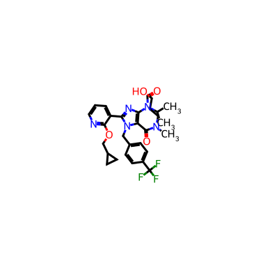 CC(C)N(C=O)c1nc(-c2cccnc2OCC2CC2)n(Cc2ccc(C(F)(F)F)cc2)c1C(=O)N(C)CCCO